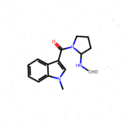 Cn1cc(C(=O)N2CCCC2NC=O)c2ccccc21